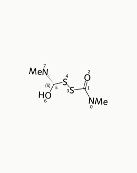 CNC(=O)SS[C@H](O)NC